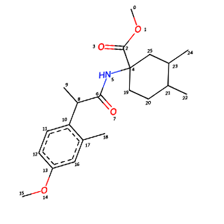 COC(=O)C1(NC(=O)C(C)c2ccc(OC)cc2C)CCC(C)C(C)C1